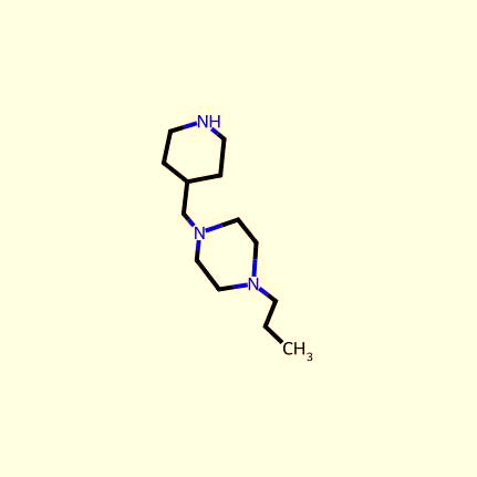 CCCN1CCN(CC2CCNCC2)CC1